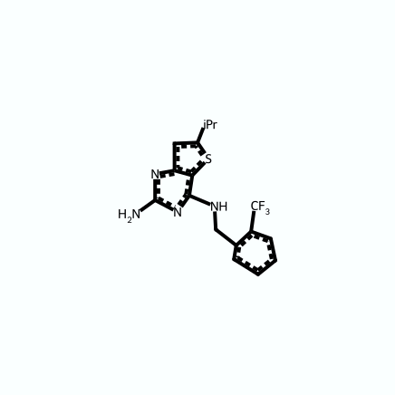 CC(C)c1cc2nc(N)nc(NCc3ccccc3C(F)(F)F)c2s1